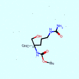 CC(C)(C)OC(=O)N[C@@](C=O)(CO)CCCNC(N)=O